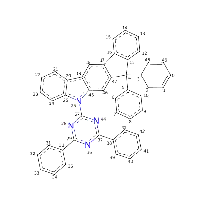 C1=CCC(C2(c3ccccc3)c3ccccc3-c3cc4c5ccccc5n(-c5nc(-c6ccccc6)nc(-c6ccccc6)n5)c4cc32)C=C1